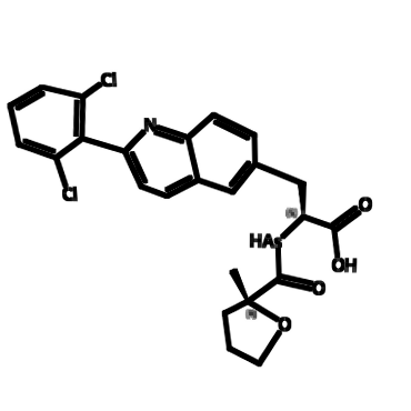 C[C@]1(C(=O)[AsH][C@@H](Cc2ccc3nc(-c4c(Cl)cccc4Cl)ccc3c2)C(=O)O)CCCO1